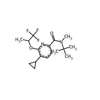 CC(Oc1nc(C(=O)N(C)C(C)(C)C)ccc1C1CC1)C(F)(F)F